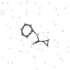 O=C(Oc1ccccc1)C1CC1